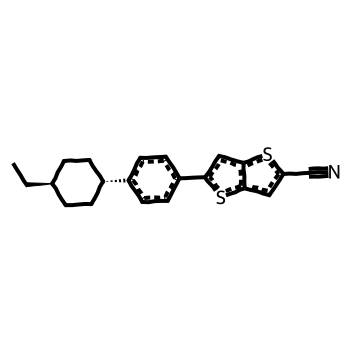 CC[C@H]1CC[C@H](c2ccc(-c3cc4sc(C#N)cc4s3)cc2)CC1